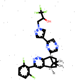 CC1(C)[C@H]2CC[C@]1(c1cncc(-c3cnn(CC(O)C(F)(F)F)c3)n1)c1nnc(-c3c(F)cccc3F)cc12